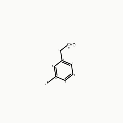 O=C[CH]c1cccc(F)c1